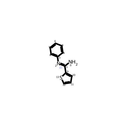 N/C(=N\c1[c]cccc1)c1cccs1